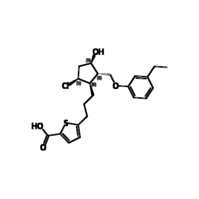 CCc1cccc(OC[C@@H]2[C@@H](CCCc3ccc(C(=O)O)s3)[C@@H](Cl)C[C@H]2O)c1